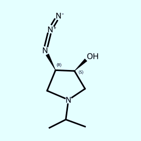 CC(C)N1C[C@H](O)[C@H](N=[N+]=[N-])C1